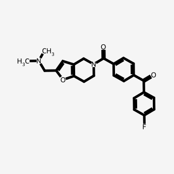 CN(C)Cc1cc2c(o1)CCN(C(=O)c1ccc(C(=O)c3ccc(F)cc3)cc1)C2